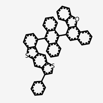 c1ccc(-c2csc3cc4c(cc23)sc2cccc(-c3c5ccccc5c(-c5cc6ccccc6c6oc7ccccc7c56)c5ccccc35)c24)cc1